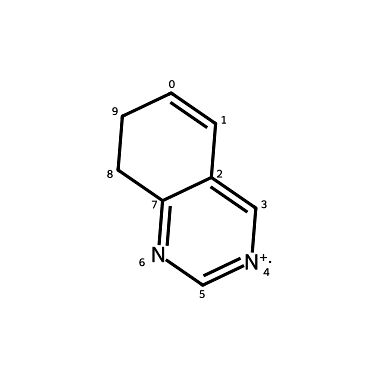 C1=CC2=C[N+]=CN=C2CC1